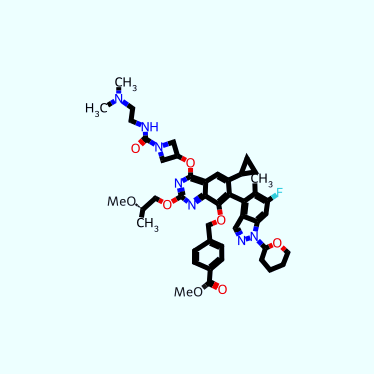 COC(=O)c1ccc(COc2c(-c3c(C)c(F)cc4c3cnn4C3CCCCO3)c(C3CC3)cc3c(OC4CN(C(=O)NCCN(C)C)C4)nc(OC[C@H](C)OC)nc23)cc1